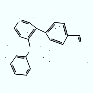 O=Cc1ccc(-c2cnccc2Oc2ccccc2)cc1